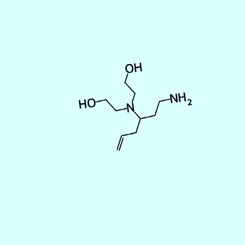 C=CCC(CCN)N(CCO)CCO